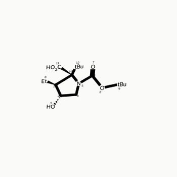 CC[C@@H]1[C@@H](O)CN(C(=O)OC(C)(C)C)[C@@]1(C(=O)O)C(C)(C)C